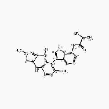 CCOc1nn(C)cc1Nc1ncc(C)c(-c2c[nH]c3c(NC(=O)C(C)Br)cccc23)n1